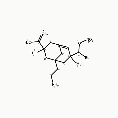 C=C(C)C1(C)CC2=CC(C)(C(CC)O[N+](=O)[O-])CC(CCN)(C2)C1